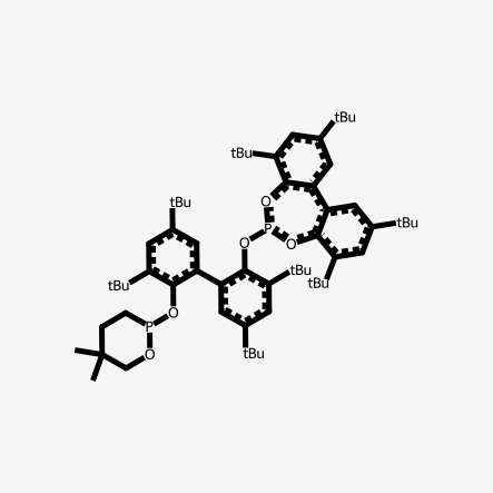 CC1(C)CCP(Oc2c(-c3cc(C(C)(C)C)cc(C(C)(C)C)c3Op3oc4c(C(C)(C)C)cc(C(C)(C)C)cc4c4cc(C(C)(C)C)cc(C(C)(C)C)c4o3)cc(C(C)(C)C)cc2C(C)(C)C)OC1